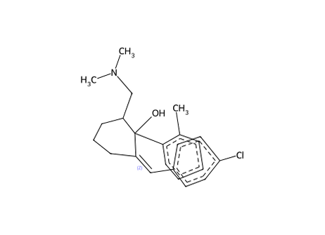 Cc1ccccc1C1(O)/C(=C\c2ccc(Cl)cc2)CCCC1CN(C)C